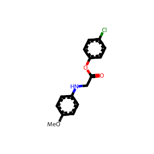 COc1ccc(NCC(=O)Oc2ccc(Cl)cc2)cc1